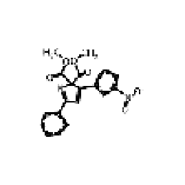 COC(=O)C1(C(=O)OC)N=C(c2ccccc2)C=C1c1cccc([N+](=O)[O-])c1